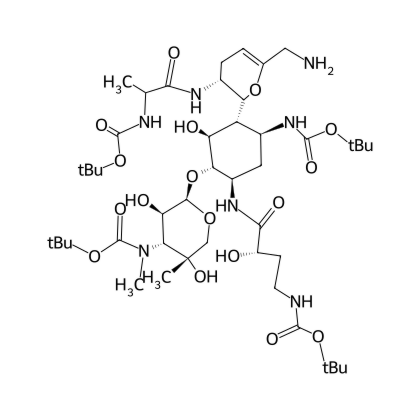 CC(NC(=O)OC(C)(C)C)C(=O)N[C@@H]1CC=C(CN)OC1[C@H]1[C@H](O)[C@@H](O[C@H]2OC[C@](C)(O)[C@H](N(C)C(=O)OC(C)(C)C)[C@H]2O)[C@H](NC(=O)[C@@H](O)CCNC(=O)OC(C)(C)C)C[C@@H]1NC(=O)OC(C)(C)C